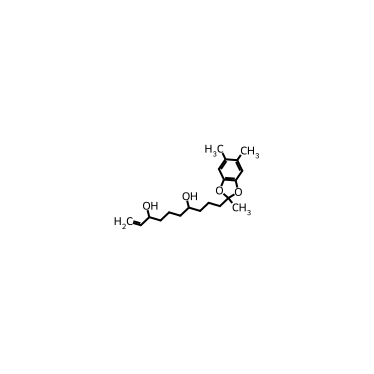 C=CC(O)CCCC(O)CCCC1(C)Oc2cc(C)c(C)cc2O1